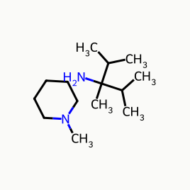 CC(C)C(C)(N)C(C)C.CN1CCCCC1